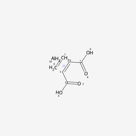 C=C.O=C(O)/C=C\C(=O)O.[AlH3]